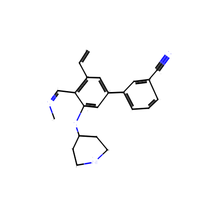 C=Cc1cc(-c2cccc(C#N)c2)cc(NC2CCNCC2)c1/C=N\C